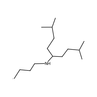 [CH2]CCCNC(CCC(C)C)CCC(C)C